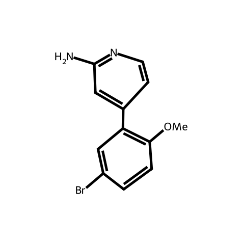 COc1ccc(Br)cc1-c1ccnc(N)c1